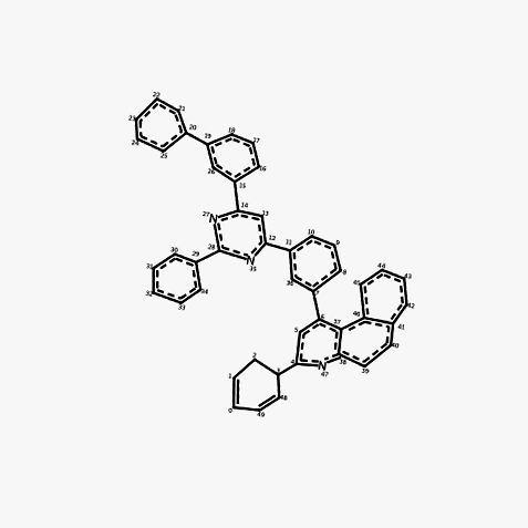 C1=CCC(c2cc(-c3cccc(-c4cc(-c5cccc(-c6ccccc6)c5)nc(-c5ccccc5)n4)c3)c3c(ccc4ccccc43)n2)C=C1